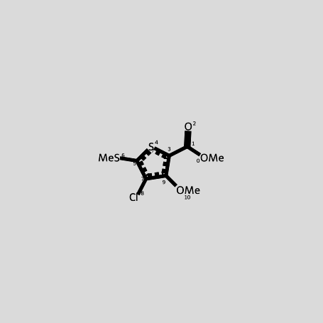 COC(=O)c1sc(SC)c(Cl)c1OC